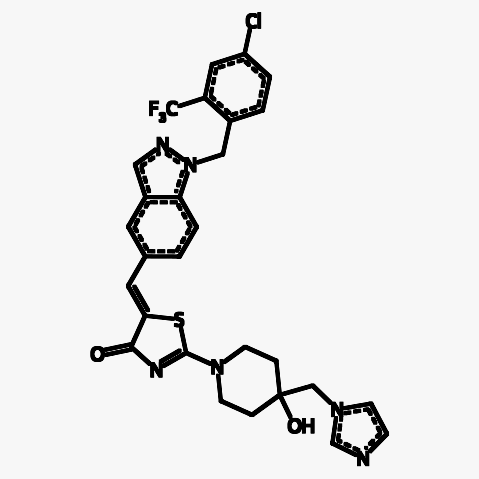 O=C1N=C(N2CCC(O)(Cn3ccnc3)CC2)S/C1=C\c1ccc2c(cnn2Cc2ccc(Cl)cc2C(F)(F)F)c1